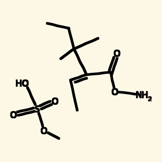 CC=C(C(=O)ON)C(C)(C)CC.COS(=O)(=O)O